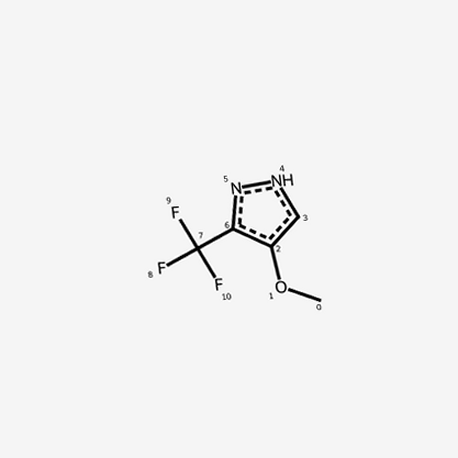 COc1c[nH]nc1C(F)(F)F